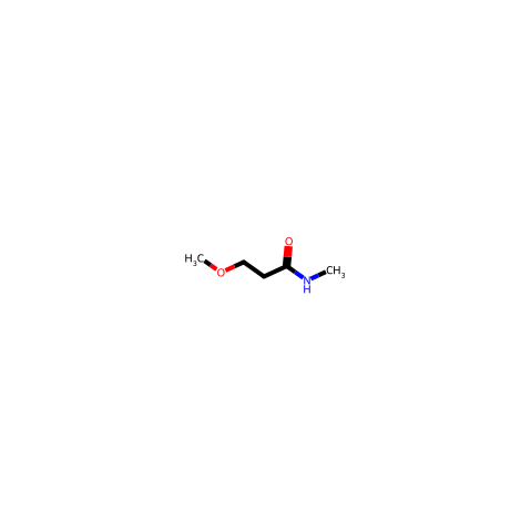 CNC(=O)CCOC